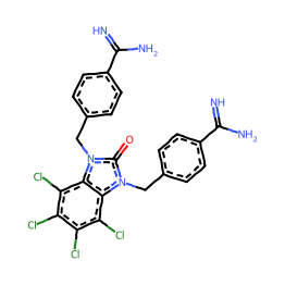 N=C(N)c1ccc(Cn2c(=O)n(Cc3ccc(C(=N)N)cc3)c3c(Cl)c(Cl)c(Cl)c(Cl)c32)cc1